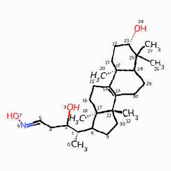 C[C@H](C(O)C/C=N/O)C1CC[C@@]2(C)C3=C(CC[C@]12C)[C@@]1(C)CC[C@H](O)C(C)(C)C1CC3